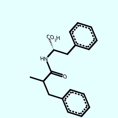 CC(Cc1ccccc1)C(=O)N[C@@H](Cc1ccccc1)C(=O)O